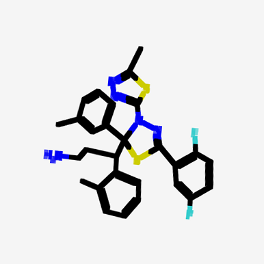 Cc1cccc(C2(C(CCN)c3ccccc3C)SC(c3cc(F)ccc3F)=NN2c2nnc(C)s2)c1